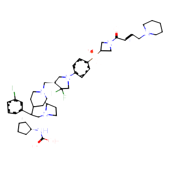 O=C(O)N[C@H]1CCC[C@@H]1C(CN1CCC1)(c1cccc(F)c1)C1CCN(C[C@H]2CN(c3ccc(S(=O)(=O)C4CN(C(=O)/C=C/CN5CCCCC5)C4)cc3)CC2(F)F)CC1